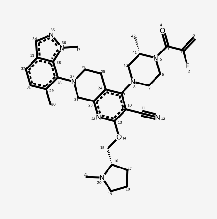 C=C(F)C(=O)N1CCN(c2c(C#N)c(OC[C@@H]3CCCN3C)nc3c2CCN(c2c(C)ccc4cnn(C)c24)C3)C[C@@H]1C